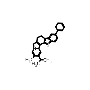 CC1=CN2CC3=C(c4sc5ccc(C6=CC=CCC6)cc5c4CC3)C2C=C1C(C)C